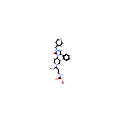 CC(CCNC(=O)OC(C)(C)C)N1CCC(N2C(=O)N(CC3CCOCC3)C[C@H]2c2ccccc2)CC1